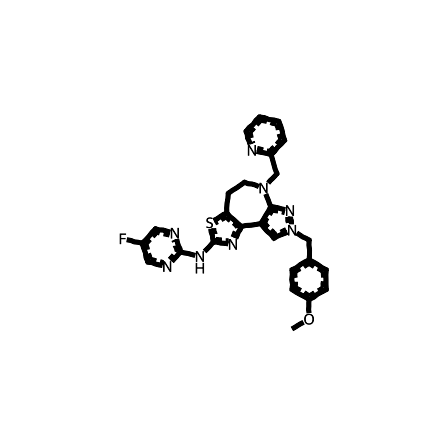 COc1ccc(Cn2cc3c(n2)N(Cc2ccccn2)CCc2sc(Nc4ncc(F)cn4)nc2-3)cc1